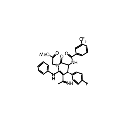 COC(=O)CN1C(=O)C(NC(=O)c2cccc(C(F)(F)F)c2)[C@@H](c2ccc(F)cc2)C(C(C)=N)=C1Nc1ccccc1